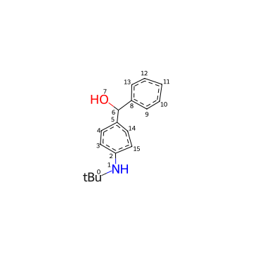 CC(C)(C)Nc1ccc(C(O)c2ccccc2)cc1